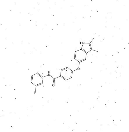 Cc1[nH]c2ccc(Oc3ccc(C(=O)Nc4cccc(F)c4)cc3)cc2c1C